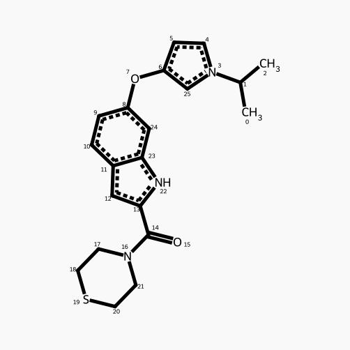 CC(C)n1ccc(Oc2ccc3cc(C(=O)N4CCSCC4)[nH]c3c2)c1